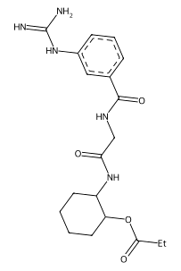 CCC(=O)OC1CCCCC1NC(=O)CNC(=O)c1cccc(NC(=N)N)c1